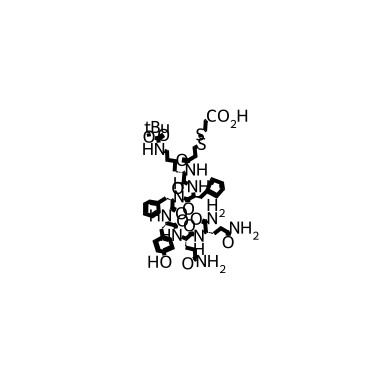 CC(C)(C)OC(=O)NCCCC[C@H](NC(=O)CCSSCCC(=O)O)C(=O)N[C@@H](Cc1ccccc1)C(=O)N[C@@H](Cc1ccccc1)C(=O)N[C@@H](Cc1ccc(O)cc1)C(=O)N[C@@H](CCC(N)=O)C(=O)N[C@@H](CCC(N)=O)C(N)=O